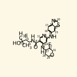 CC(C)(O)[C@H](F)CNC(=O)c1cnc(Nc2ccc3ncsc3c2)cc1NC1CCOCC1F